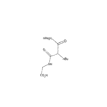 CCCCCCCC(=O)C(CCCC)C(=O)NCC(=O)O